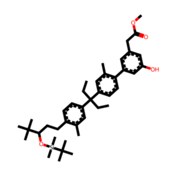 CCC(CC)(c1ccc(CCC(O[Si](C)(C)C(C)(C)C)C(C)(C)C)c(C)c1)c1ccc(-c2cc(O)cc(CC(=O)OC)c2)c(C)c1